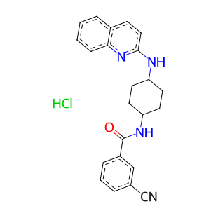 Cl.N#Cc1cccc(C(=O)NC2CCC(Nc3ccc4ccccc4n3)CC2)c1